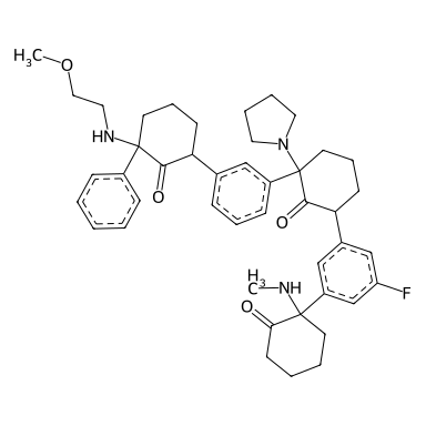 CNC1(c2cc(F)cc(C3CCCC(c4cccc(C5CCCC(NCCOC)(c6ccccc6)C5=O)c4)(N4CCCC4)C3=O)c2)CCCCC1=O